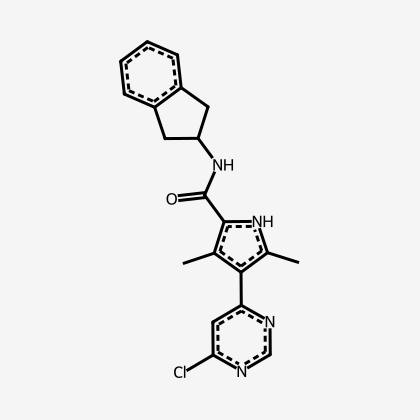 Cc1[nH]c(C(=O)NC2Cc3ccccc3C2)c(C)c1-c1cc(Cl)ncn1